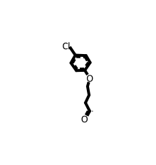 O=[C]CCCOc1ccc(Cl)cc1